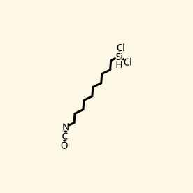 O=C=NCCCCCCCCCC[SiH](Cl)Cl